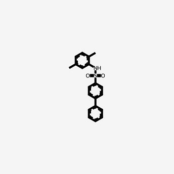 Cc1ccc(C)c(NS(=O)(=O)c2ccc(-c3ccccc3)cc2)c1